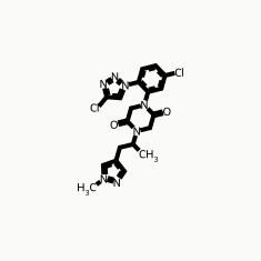 CC(Cc1cnn(C)c1)N1CC(=O)N(c2cc(Cl)ccc2-n2cc(Cl)nn2)CC1=O